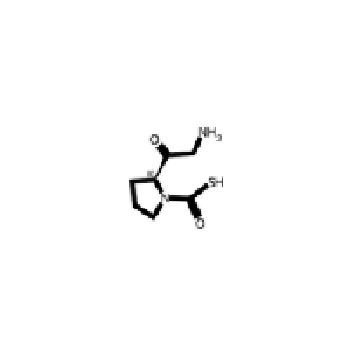 NCC(=O)[C@@H]1CCCN1C(=O)S